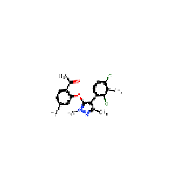 CC(=O)c1ccc(C)cc1Oc1c(-c2ccc(Cl)c(C)c2Cl)c(C)nn1C